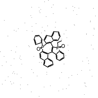 CCP1(=O)C2=C(c3ccccc31)c1c(ccc3ccccc13)P(=O)(c1ccccc1)c1ccc3ccccc3c12